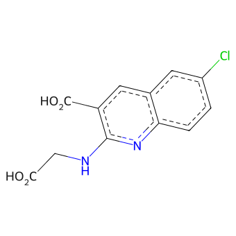 O=C(O)CNc1nc2ccc(Cl)cc2cc1C(=O)O